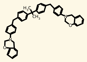 CC(C)(c1ccc(Cc2ccc(N3COc4ccccc4C3)cc2)cc1)c1ccc(Cc2ccc(N3COc4ccccc4C3)cc2)cc1